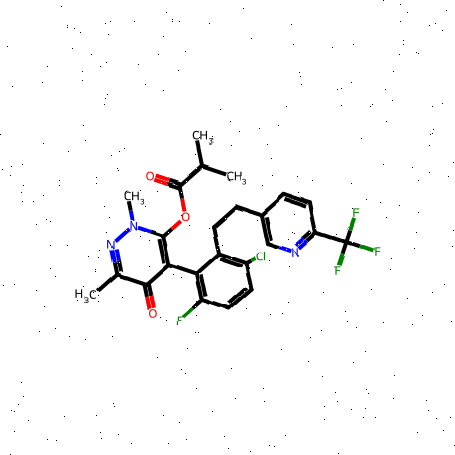 Cc1nn(C)c(OC(=O)C(C)C)c(-c2c(F)ccc(Cl)c2CCc2ccc(C(F)(F)F)nc2)c1=O